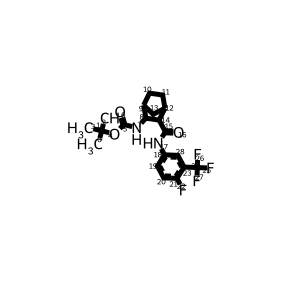 CC(C)(C)OC(=O)NC1C2CCC(C2)C1C(=O)Nc1ccc(F)c(C(F)(F)F)c1